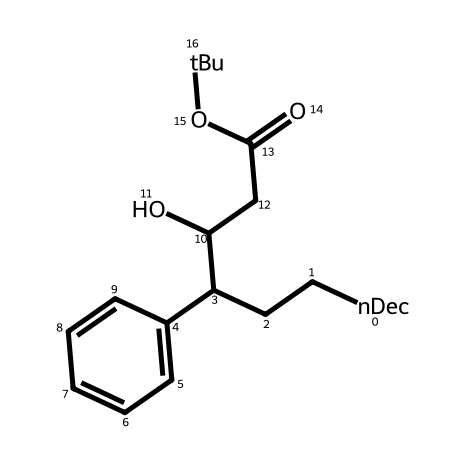 CCCCCCCCCCCCC(c1ccccc1)C(O)CC(=O)OC(C)(C)C